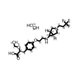 CCO[C@@H](Cc1ccc(OCCNC2[C@@H]3CN(CCC(F)(F)F)C[C@@H]23)cc1)C(=O)O.Cl.Cl